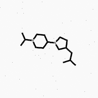 CC(C)CC1CCN(C2CCN(C(C)C)CC2)C1